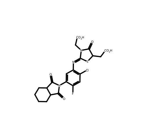 O=C(O)CC1SC(=Nc2cc(N3C(=O)C4CCCCC4C3=O)c(F)cc2Cl)N(CC(=O)O)C1=O